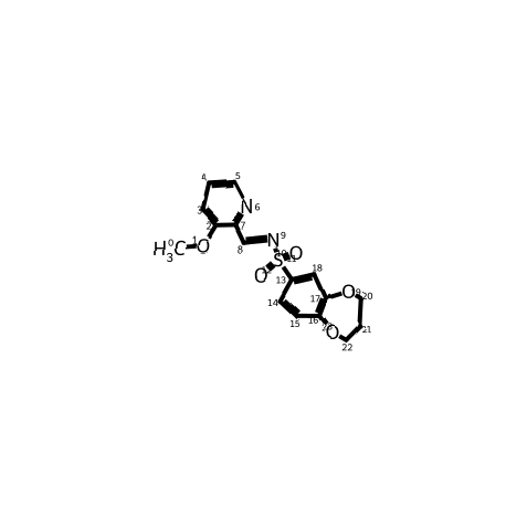 COc1cccnc1C=NS(=O)(=O)c1ccc2c(c1)OCCCO2